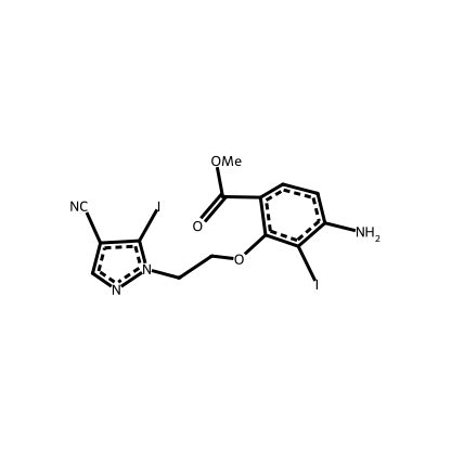 COC(=O)c1ccc(N)c(I)c1OCCn1ncc(C#N)c1I